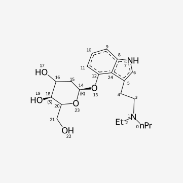 CCCN(CC)CCc1c[nH]c2cccc(O[C@@H]3CC(O)[C@H](O)C(CO)O3)c12